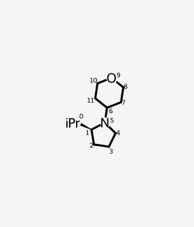 CC(C)[C@@H]1CCCN1C1CCOCC1